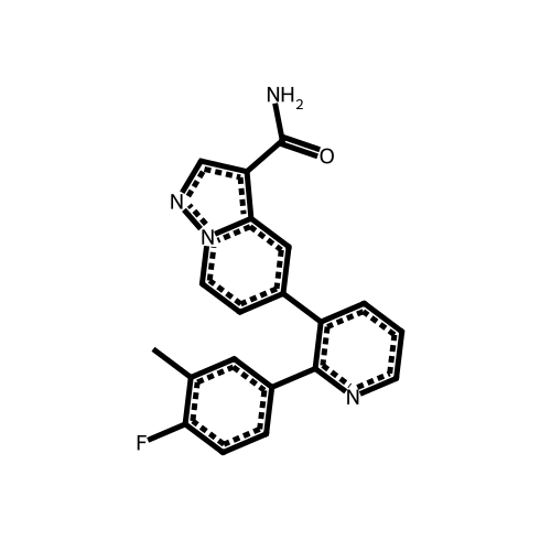 Cc1cc(-c2ncccc2-c2ccn3ncc(C(N)=O)c3c2)ccc1F